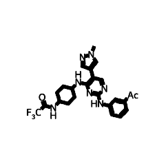 CC(=O)c1cccc(Nc2ncc(-c3cnn(C)c3)c(NC3CCC(NC(=O)C(F)(F)F)CC3)n2)c1